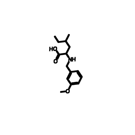 CCC(C)CC(NCc1cccc(OC)c1)C(=O)O